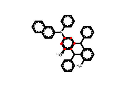 CC1=CCCC2=C1C1(c3ccccc3)c3c(C)cccc3C2(c2ccccc2)c2cc(N(c3ccccc3)c3ccc4ccccc4c3)cc(C)c21